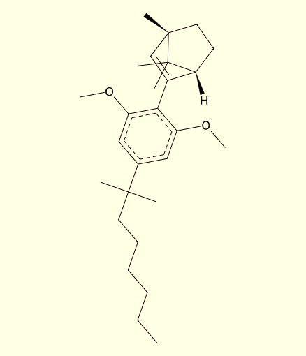 CCCCCCC(C)(C)c1cc(OC)c(C2=C[C@]3(C)CC[C@H]2C3(C)C)c(OC)c1